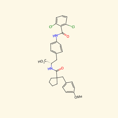 COc1ccc(CC2(C(=O)N[C@@H](Cc3ccc(NC(=O)c4c(Cl)cccc4Cl)cc3)C(=O)O)CCCC2)cc1